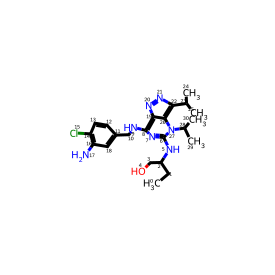 CCC(CO)Nc1nc(NCc2ccc(Cl)c(N)c2)c2nnc(C(C)C)c-2n1C(C)C